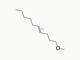 CCCCC/C=C/CCCOC